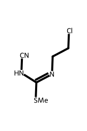 CSC(=NCCCl)NC#N